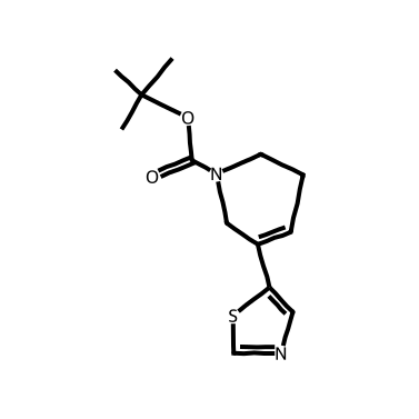 CC(C)(C)OC(=O)N1CCC=C(c2cncs2)C1